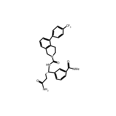 CNC(=O)c1cccc([C@H](CCC(N)=O)NC(=O)N2CCc3c(cccc3-c3ccc(C(F)(F)F)cc3)C2)c1